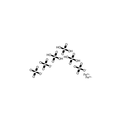 O=S(=O)(O)O.O=S(=O)(O)O.O=S(=O)(O)O.O=S(=O)([O-])[O-].O=S(=O)([O-])[O-].O=S(=O)([O-])[O-].[Fe+3].[Fe+3]